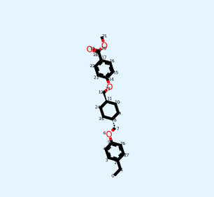 CCc1ccc(OC[C@H]2CC[C@H](COc3ccc(C(=O)OC)cc3)CC2)cc1